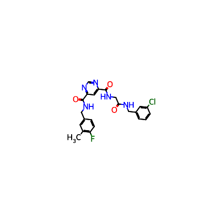 Cc1cc(CNC(=O)c2cc(C(=O)NCC(=O)NCc3cccc(Cl)c3)ncn2)ccc1F